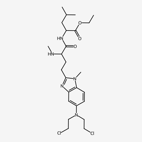 CCOC(=O)C(CC(C)C)NC(=O)C(CCc1nc2cc(N(CCCl)CCCl)ccc2n1C)NC